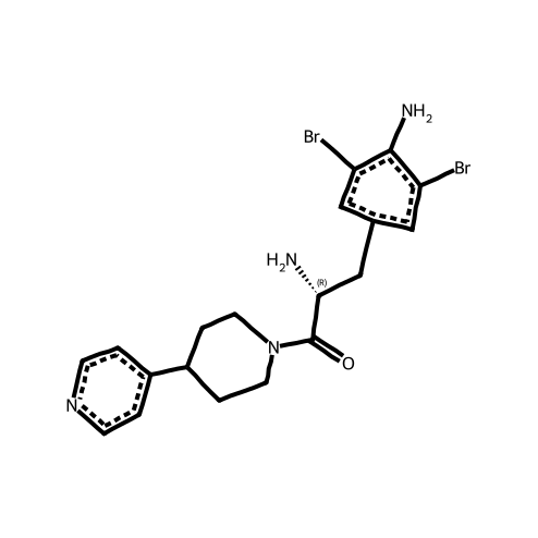 Nc1c(Br)cc(C[C@@H](N)C(=O)N2CCC(c3ccncc3)CC2)cc1Br